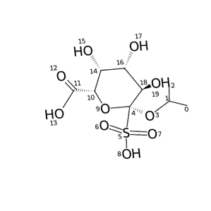 CC(C)O[C@]1(S(=O)(=O)O)O[C@H](C(=O)O)[C@H](O)[C@H](O)[C@H]1O